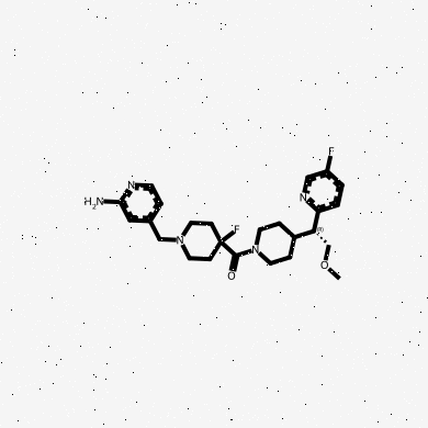 COC[C@@H](c1ccc(F)cn1)C1CCN(C(=O)C2(F)CCN(Cc3ccnc(N)c3)CC2)CC1